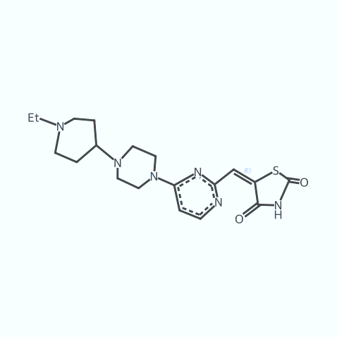 CCN1CCC(N2CCN(c3ccnc(/C=C4/SC(=O)NC4=O)n3)CC2)CC1